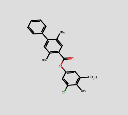 CCCc1c(Cl)cc(OC(=O)c2cc(C(C)(C)C)c(-c3ccccc3)cc2C(C)(C)C)cc1C(=O)O